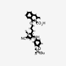 CC1Cc2ccccc2C(OCCCc2c(Nc3ccc(O[Si](C)(C)C(C)(C)C)cc3)cc(C#N)n2C)N1C(=O)O